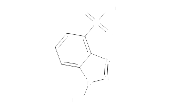 Cn1nnc2c(S(=O)(=O)O)cccc21